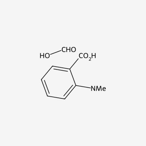 CNc1ccccc1C(=O)O.O=CO